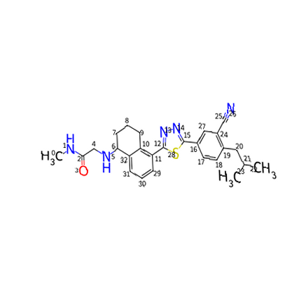 CNC(=O)CNC1CCCc2c(-c3nnc(-c4ccc(CC(C)C)c(C#N)c4)s3)cccc21